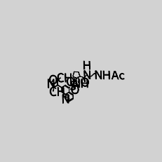 CC(=O)NCCNC(=O)C1CCC[C@H]1NS(=O)(=O)c1cc(-c2c(C)noc2C)cc2ncccc12